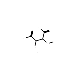 CNC(C(=O)O)C(O)C(=O)O.Cl